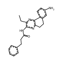 CCc1nc2c(nc1NC(=O)CCc1ccccc1)CCc1cc(N)ccc1-2